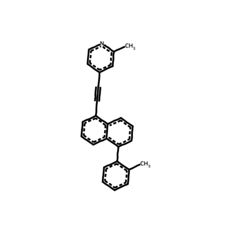 Cc1cc(C#Cc2cccc3c(-c4ccccc4C)cccc23)ccn1